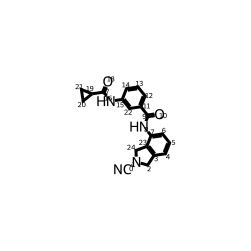 N#CN1Cc2cccc(NC(=O)c3cccc(NC(=O)C4CC4)c3)c2C1